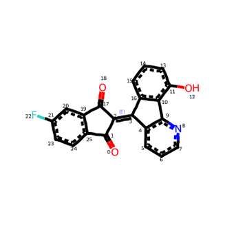 O=C1/C(=C2\c3cccnc3-c3c(O)cccc32)C(=O)c2cc(F)ccc21